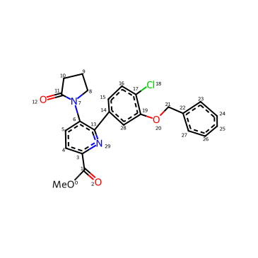 COC(=O)c1ccc(N2CCCC2=O)c(-c2ccc(Cl)c(OCc3ccccc3)c2)n1